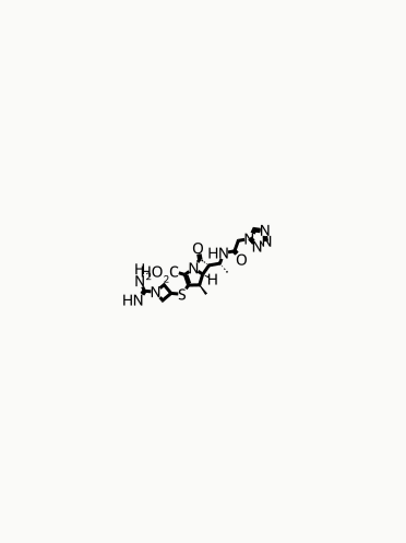 C[C@@H](NC(=O)Cn1cnnn1)[C@H]1C(=O)N2C(C(=O)O)=C(SC3CN(C(=N)N)C3)[C@H](C)[C@H]12